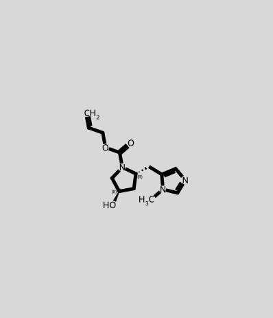 C=CCOC(=O)N1C[C@H](O)C[C@H]1Cc1cncn1C